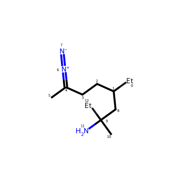 CCC(CCC(C)=[N+]=[N-])CC(C)(N)CC